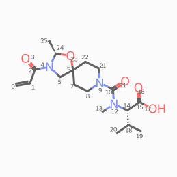 C=CC(=O)N1CC2(CCN(C(=O)N(C)[C@H](C(=O)O)C(C)C)CC2)O[C@@H]1C